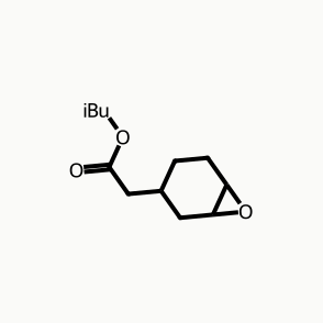 CCC(C)OC(=O)CC1CCC2OC2C1